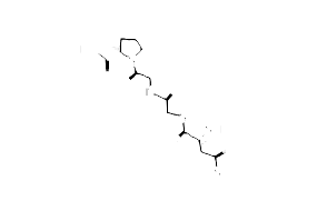 NC(=O)C[C@H](N)C(=O)NCC(=O)NCC(=O)N1CCC[C@H]1C(=O)O